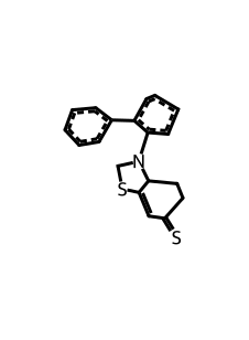 S=C1C=C2SCN(c3ccccc3-c3ccccc3)C2CC1